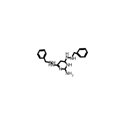 NC1N=C(NNCc2ccccc2)CC(NNCc2ccccc2)N1